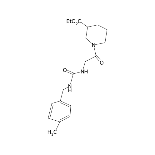 CCOC(=O)C1CCCN(C(=O)CNC(=O)NCc2ccc(C)cc2)C1